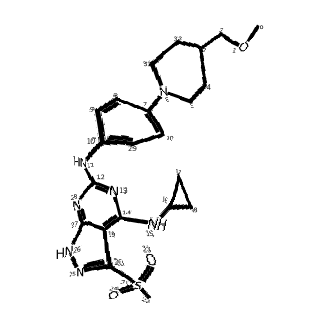 COCC1CCN(c2ccc(Nc3nc(NC4CC4)c4c(S(C)(=O)=O)n[nH]c4n3)cc2)CC1